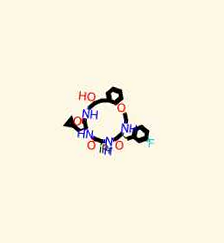 CC(C)[C@H]1NC(=O)[C@@H](Cc2cccc(F)c2)NCCOc2ccccc2C[C@@H](O)CNC(=O)[C@H](CC2CC2)NC1=O